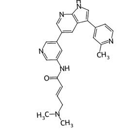 Cc1cc(-c2c[nH]c3ncc(-c4cncc(NC(=O)/C=C/CN(C)C)c4)cc23)ccn1